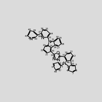 c1ccc(-n2c3ccccc3c3cccc(-c4nnc(-c5cccc6c5c5ccccc5n6-c5cccc(-c6cccnc6)n5)o4)c32)cc1